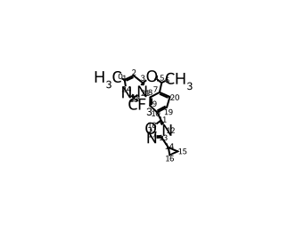 Cc1cc(OC(C)c2ccc(-c3nc(C4CC4)no3)cc2)nc(C(F)(F)F)n1